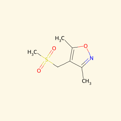 Cc1noc(C)c1CS(C)(=O)=O